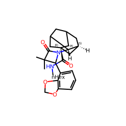 CCCCCCNC(=O)[C@]12CC3CC(C1)[C@@H](N1C(=O)C(C)(C)C1c1cccc4c1OCO4)[C@@H](C3)C2